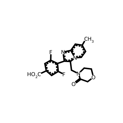 Cc1ccn2c(CN3CCOCC3=O)c(-c3c(F)cc(C(=O)O)cc3F)nc2c1